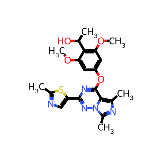 COc1cc(Oc2nc(-c3cnc(C)s3)nn3c(C)nc(C)c23)cc(OC)c1C(C)O